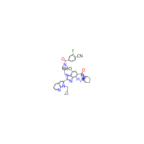 COc1cc(C(=O)N2CC3CCC2[C@@H]3N)cc2nc(-c3cc4cccnc4n3CC3CC3)n(CC3CN(C(=O)c4ccc(C#N)c(F)c4)C3)c12